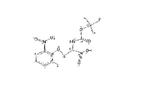 Cc1cccc([N+](=O)[O-])c1OCC(NC(=O)OC(C)(C)C)C(=O)O